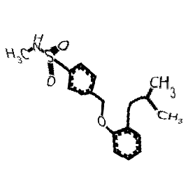 CNS(=O)(=O)c1ccc(COc2ccccc2CC(C)C)cc1